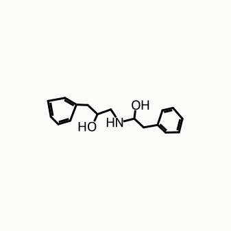 OC(CNC(O)Cc1ccccc1)Cc1ccccc1